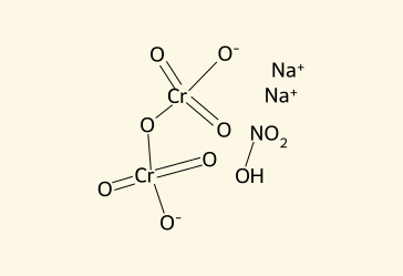 O=[N+]([O-])O.[Na+].[Na+].[O]=[Cr](=[O])([O-])[O][Cr](=[O])(=[O])[O-]